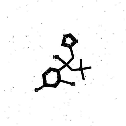 C[Si](C)(C)CC(O)(Cn1cncn1)c1ccc(Cl)cc1Cl